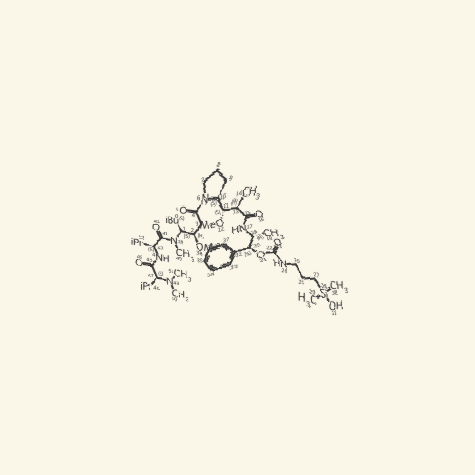 CC[C@H](C)[C@@H]([C@@H](CC(=O)N1CCC[C@H]1[C@@H](OC)[C@@H](C)C(=O)N[C@H](C)[C@@H](OC(=O)NCCC[Si](C)(C)O)c1ccccc1)OC)N(C)C(=O)[C@@H](NC(=O)[C@H](C(C)C)N(C)C)C(C)C